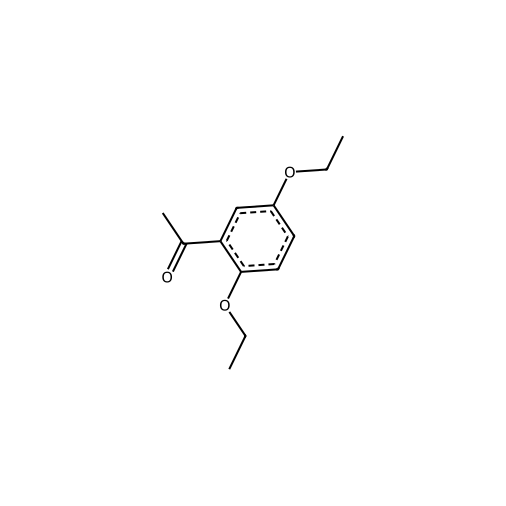 CCOc1ccc(OCC)c(C(C)=O)c1